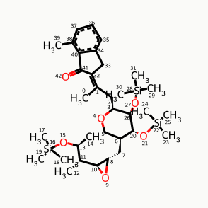 C/C(C[C@@H]1OC[C@H](C[C@@H]2O[C@H]2[C@H](C)[C@H](C)O[Si](C)(C)C)[C@@H](O[Si](C)(C)C)[C@@H]1O[Si](C)(C)C)=C1/Cc2cccc(C)c2C1=O